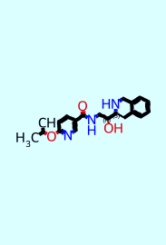 CC(C)Oc1ccc(C(=O)NC[C@@H](O)[C@@H]2Cc3ccccc3CN2)cn1